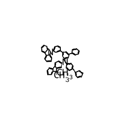 CC1(C)c2ccccc2-c2ccc(N(c3ccc(-c4ccccc4)cc3)c3cc(-c4ccccc4)cc(-c4cccc(-n5c6ccccc6c6ccccc65)c4)c3)cc21